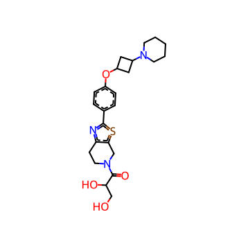 O=C(C(O)CO)N1CCc2nc(-c3ccc(OC4CC(N5CCCCC5)C4)cc3)sc2C1